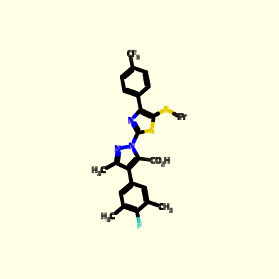 Cc1cc(-c2c(C)nn(-c3nc(-c4ccc(C(F)(F)F)cc4)c(SC(C)C)s3)c2C(=O)O)cc(C)c1F